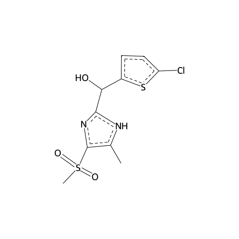 Cc1[nH]c(C(O)c2ccc(Cl)s2)nc1S(C)(=O)=O